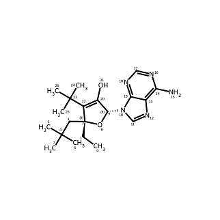 CC[C@]1(CC(C)(C)C)O[C@@H](n2cnc3c(N)ncnc32)C(O)=C1C(C)(C)C